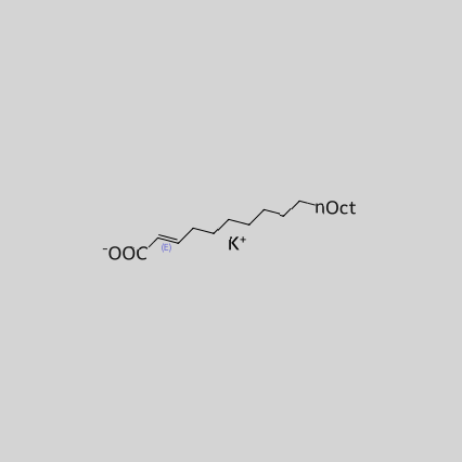 CCCCCCCCCCCCCCC/C=C/C(=O)[O-].[K+]